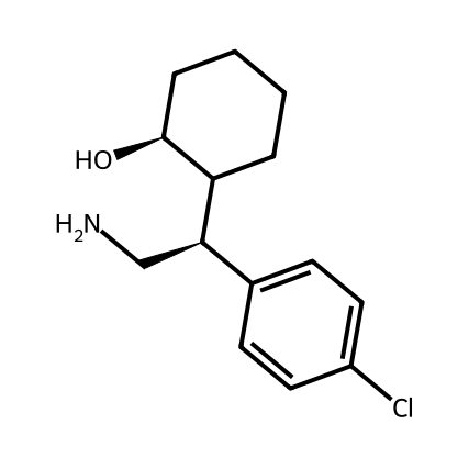 NC[C@H](c1ccc(Cl)cc1)C1CCCC[C@@H]1O